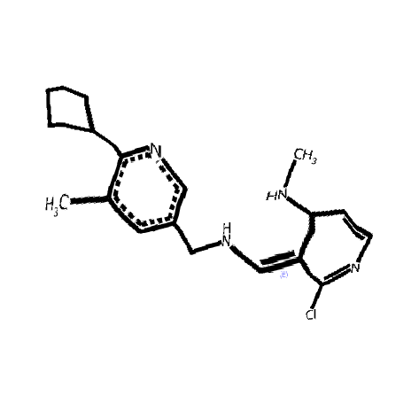 CNC1C=CN=C(Cl)/C1=C/NCc1cnc(C2CCC2)c(C)c1